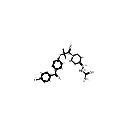 CC(C)(Oc1ccc(C(=O)c2ccc(Cl)cc2)cc1)C(=O)N1CCC(=NNC(N)=O)CC1